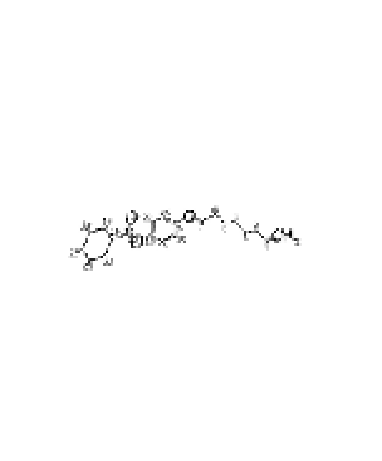 C=CCCCCCCOc1ccc(OC(=O)C2CCCCC2)cc1